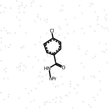 C[CH]CNC(=O)c1ccc(Cl)cc1